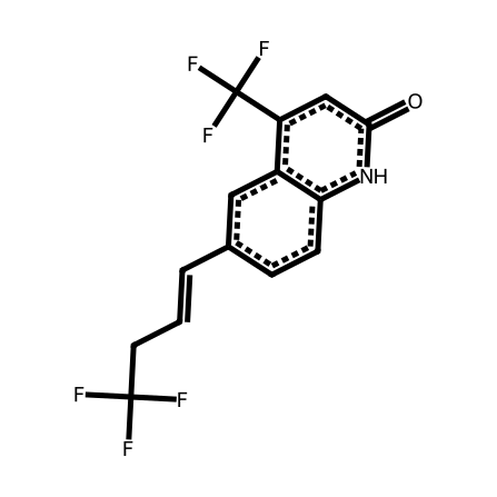 O=c1cc(C(F)(F)F)c2cc(/C=C/CC(F)(F)F)ccc2[nH]1